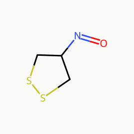 O=NC1CSSC1